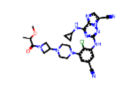 CO[C@H](C)C(=O)N1CC(N2CCN(c3cc(C#N)cc(Nc4nc(NC5CC5)c5ncc(C#N)n5n4)c3Cl)CC2)C1